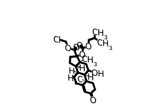 CC(C)COC(=O)OC1(C(=O)OCCl)CC[C@H]2[C@@H]3CCC4=CC(=O)CC[C@]4(C)[C@@H]3C(O)C[C@@]21C